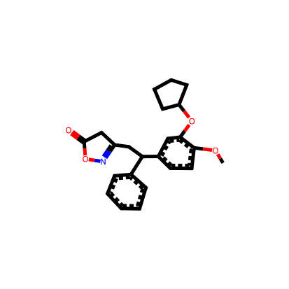 COc1ccc(C(CC2=NOC(=O)C2)c2ccccc2)cc1OC1CCCC1